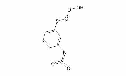 O=S(=O)=Nc1cccc(SOOO)c1